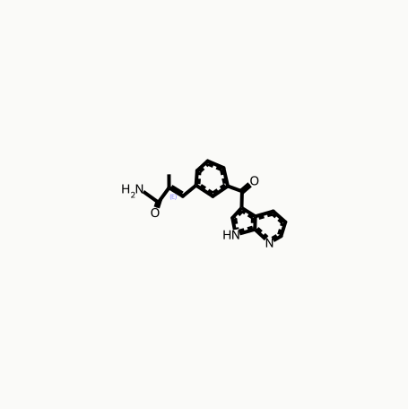 C/C(=C\c1cccc(C(=O)c2c[nH]c3ncccc23)c1)C(N)=O